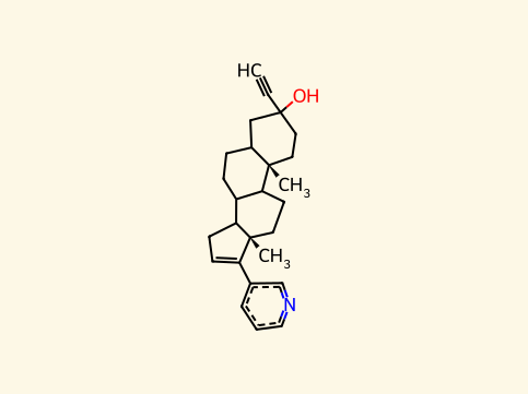 C#CC1(O)CC[C@@]2(C)C(CCC3C2CC[C@]2(C)C(c4cccnc4)=CCC32)C1